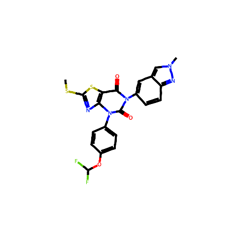 CSc1nc2c(s1)c(=O)n(-c1ccc3nn(C)cc3c1)c(=O)n2-c1ccc(OC(F)F)cc1